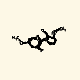 CNc1cccn(-c2ncc(OC)cc2F)c1=O